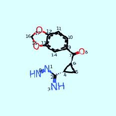 N=NC(=N)[C@H]1C[C@@H]1C(=O)c1ccc2c(c1)OCO2